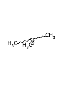 CCCCCCC[Si](CCCCCCC)OC